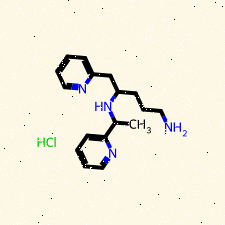 CC(NC(CCCN)Cc1ccccn1)c1ccccn1.Cl